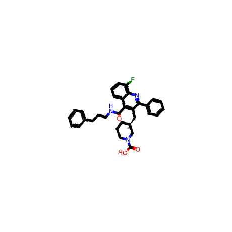 O=C(NCCCc1ccccc1)c1c(C[C@@H]2CCCN(C(=O)O)C2)c(-c2ccccc2)nc2c(F)cccc12